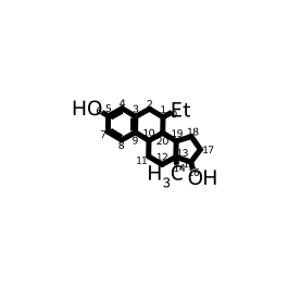 CCC1Cc2cc(O)ccc2C2CCC3(C)C(O)CCC3C12